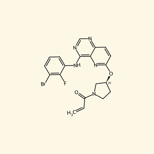 C=CC(=O)N1CC[C@H](Oc2ccc3ncnc(Nc4cccc(Br)c4F)c3n2)C1